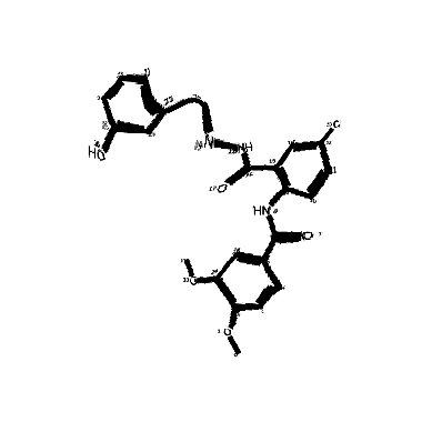 COc1ccc(C(=O)Nc2ccc(Cl)cc2C(=O)N/N=C/c2cccc(O)c2)cc1OC